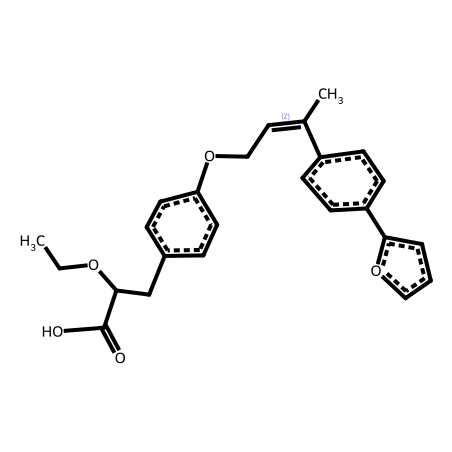 CCOC(Cc1ccc(OC/C=C(/C)c2ccc(-c3ccco3)cc2)cc1)C(=O)O